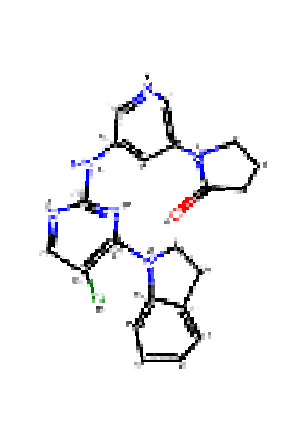 O=C1CCCN1c1cncc(Nc2ncc(Cl)c(N3CCc4ccccc43)n2)c1